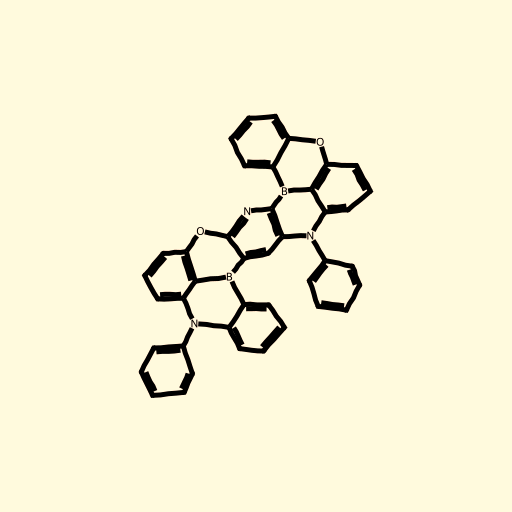 c1ccc(N2c3ccccc3B3c4cc5c(nc4Oc4cccc2c43)B2c3ccccc3Oc3cccc(c32)N5c2ccccc2)cc1